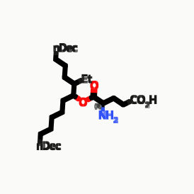 CCCCCCCCCCCCCCCC(OC(=O)[C@H](N)CCC(=O)O)C(CC)CCCCCCCCCCCCC